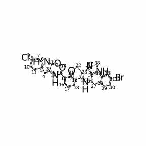 NC(=O)[C@H](Cc1ccc(Cl)cc1)NC(=O)c1cccc2c1OCCC2NC(Cc1ccc(Br)cc1)c1cnc[nH]1